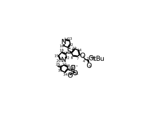 CC(C)(C)OC(=O)COc1ccc([S+](c2cccnc2)c2cccnc2)cc1.Cc1ccc(S(=O)(=O)[O-])cc1